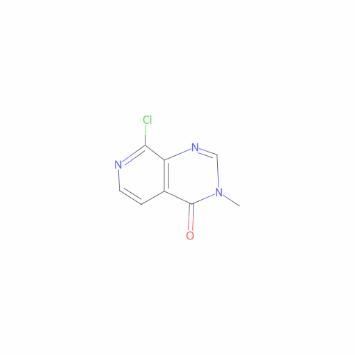 Cn1cnc2c(Cl)nccc2c1=O